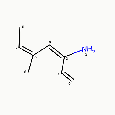 C=C/C(N)=C\C(C)=C/C